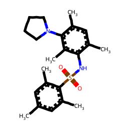 Cc1cc(C)c(S(=O)(=O)Nc2c(C)cc(C)c(N3CCCC3)c2C)c(C)c1